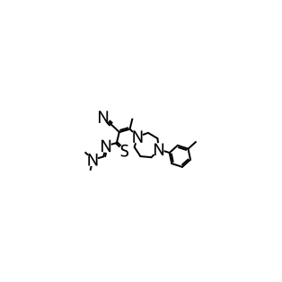 C/C(=C(\C#N)C(=S)/N=C/N(C)C)N1CCCN(c2cccc(C)c2)CC1